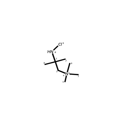 CC(C)(C[N+](C)(C)C)NCl